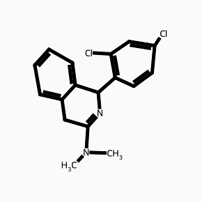 CN(C)C1=NC(c2ccc(Cl)cc2Cl)c2ccccc2C1